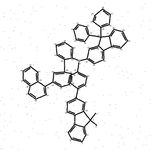 CC1(C)c2ccccc2-c2ccc(-c3ccc(N(c4ccc5c(c4)C(c4ccccc4)(c4ccccc4)c4ccccc4-5)c4ccccc4-c4cccc(-c5cccc6ccccc56)c4)cc3)cc21